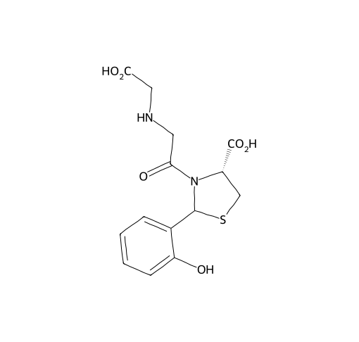 O=C(O)CNCC(=O)N1C(c2ccccc2O)SC[C@H]1C(=O)O